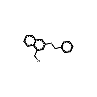 CC(=O)Cc1cc(SCc2ccccc2)cc2ccccc12